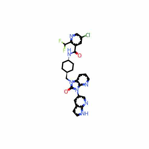 O=C(N[C@H]1CC[C@H](Cn2c(=O)n(-c3cnc4[nH]ccc4c3)c3ncccc32)CC1)c1cc(Cl)cnc1C(F)F